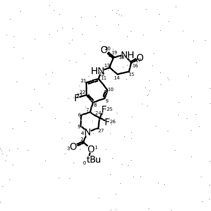 CC(C)(C)OC(=O)N1CCC(c2ccc(NC3CCC(=O)NC3=O)cc2F)C(F)(F)C1